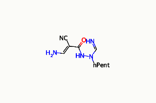 CCCCCN(C=N)NC(=O)C(C#N)=CN